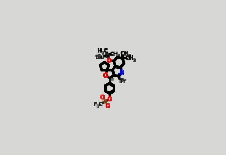 CC(C)c1nc2c(c3c1[C@@H](c1ccc(OS(=O)(=O)C(F)(F)F)cc1)OC31CCCC1)C(O[Si](C)(C)C(C)(C)C)CC(C)(C)C2